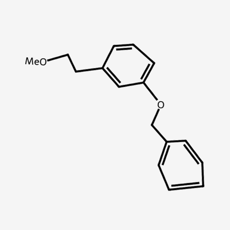 COCCc1cccc(OCc2ccccc2)c1